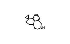 c1cc2c3c(c1)C1(CCC3CCNC2)CC1